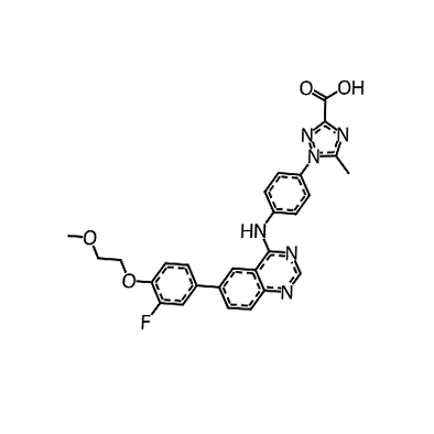 COCCOc1ccc(-c2ccc3ncnc(Nc4ccc(-n5nc(C(=O)O)nc5C)cc4)c3c2)cc1F